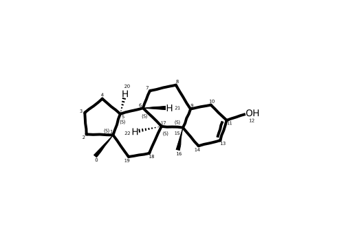 C[C@@]12CCC[C@H]1[C@@H]1CCC3CC(O)=CC[C@]3(C)[C@H]1CC2